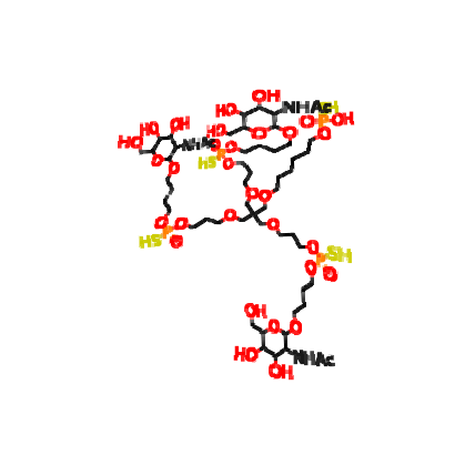 CC(=O)NC1C(OCCCCOP(=O)(S)OCCCOCC(COCCCCCCOP(=O)(O)S)(COCCCOP(=O)(S)OCCCCOC2OC(CO)C(O)C(O)C2NC(C)=O)COCCCOP(=O)(S)OCCCCOC2OC(CO)C(O)C(O)C2NC(C)=O)OC(CO)C(O)C1O